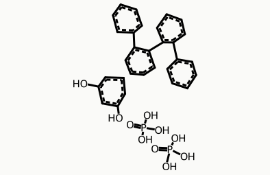 O=P(O)(O)O.O=P(O)(O)O.Oc1cccc(O)c1.c1ccc(-c2ccccc2-c2ccccc2-c2ccccc2)cc1